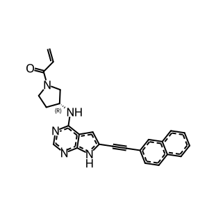 C=CC(=O)N1CC[C@@H](Nc2ncnc3[nH]c(C#Cc4ccc5ccccc5c4)cc23)C1